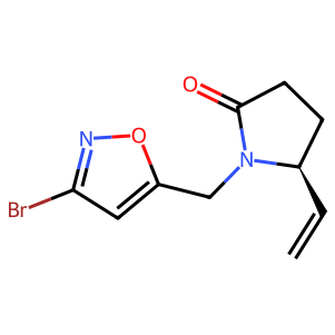 C=C[C@@H]1CCC(=O)N1Cc1cc(Br)no1